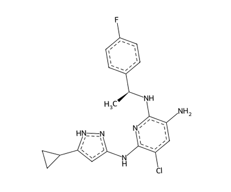 C[C@H](Nc1nc(Nc2cc(C3CC3)[nH]n2)c(Cl)cc1N)c1ccc(F)cc1